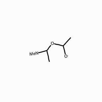 CNC(C)OC(C)[O]